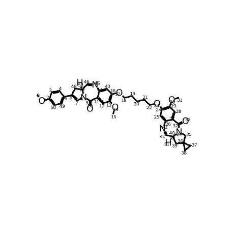 COc1ccc(C2=CN3C(=O)c4cc(OC)c(OCCCCCOc5cc6c(cc5OC)C(=O)N5CC7(CC7)C[C@H]5C=N6)cc4N=C[C@@H]3C2)cc1